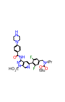 CC(C)N(Cc1cc(F)c(-c2cc3c(NC(=O)c4ccc(N5CCNCC5)cc4)nn(C(=O)O)c3cn2)c(F)c1)C(=O)OC(C)(C)C